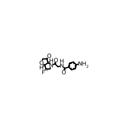 Nc1ccc(C(=O)NCC(=O)N2C[C@H](F)[C@H]3OCC(=O)[C@H]32)cc1